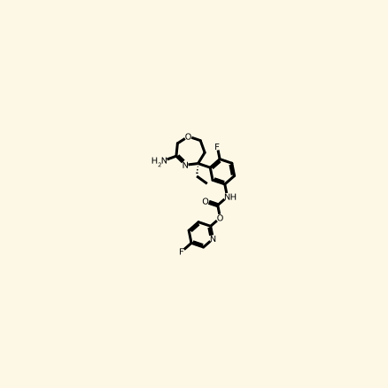 CC[C@@]1(c2cc(NC(=O)Oc3ccc(F)cn3)ccc2F)CCOCC(N)=N1